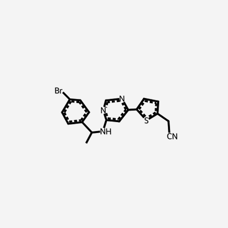 CC(Nc1cc(-c2ccc(CC#N)s2)ncn1)c1ccc(Br)cc1